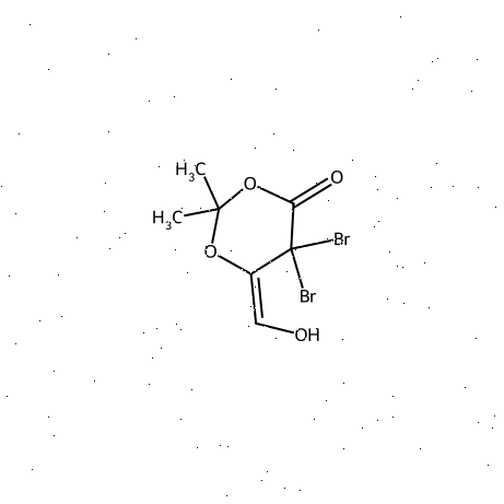 CC1(C)OC(=O)C(Br)(Br)/C(=C\O)O1